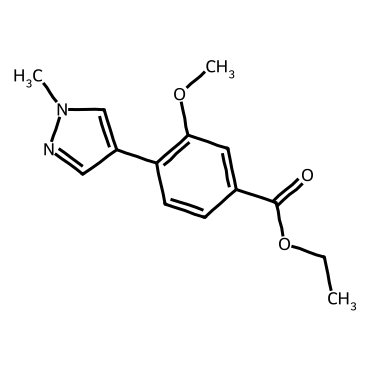 CCOC(=O)c1ccc(-c2cnn(C)c2)c(OC)c1